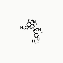 C=C(Cc1ccc(OC)cc1)c1ccc2c(c1)C(C)(C)CCC2(C)C